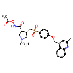 Cc1cc(COc2ccc(S(=O)(=O)C[C@@H]3CN(C(=O)O)C[C@@H]3C(=O)NOC(=O)C(F)(F)F)cc2)c2ccccc2n1